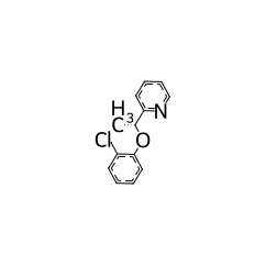 C[C@@H](Oc1ccccc1Cl)c1ccccn1